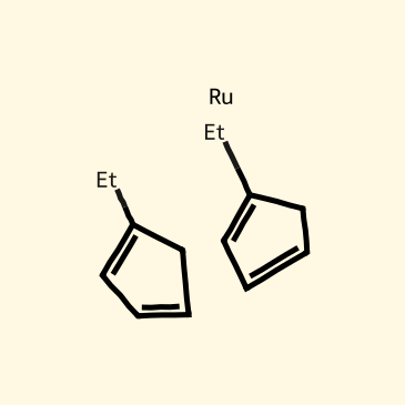 CCC1=CC=CC1.CCC1=CC=CC1.[Ru]